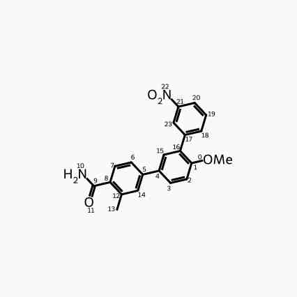 COc1ccc(-c2ccc(C(N)=O)c(C)c2)cc1-c1cccc([N+](=O)[O-])c1